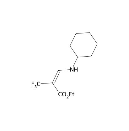 CCOC(=O)/C(=C\NC1CCCCC1)C(F)(F)F